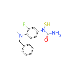 CN(Cc1ccccc1)c1ccc(N(S)C(N)=O)cc1F